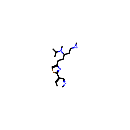 C/C=C(\C=N/C)c1nc(CCC(CCNC)N(C)C(C)C)cs1